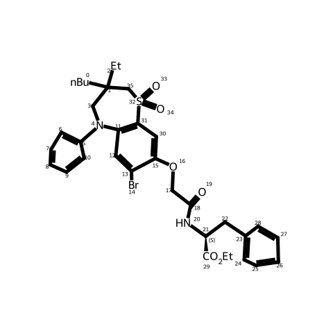 CCCCC1(CC)CN(c2ccccc2)c2cc(Br)c(OCC(=O)N[C@@H](Cc3ccccc3)C(=O)OCC)cc2S(=O)(=O)C1